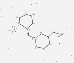 CC(C)CC1CCCN(C[C@@H]2CCCC[C@H]2N)C1